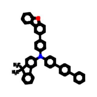 CC1(C)c2ccccc2-c2cc(N(c3ccc(-c4ccc(-c5ccccc5)cc4)cc3)c3ccc(-c4ccc5oc6ccccc6c5c4)cc3)ccc21